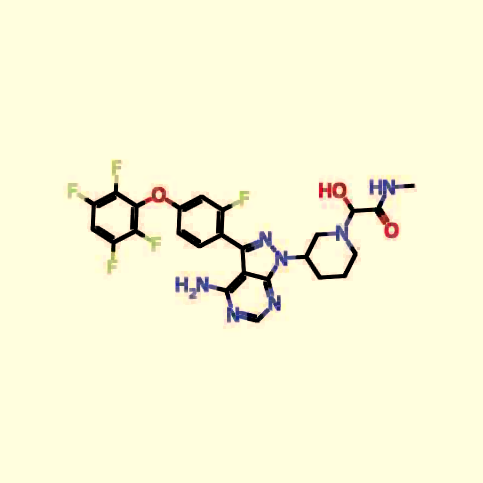 CNC(=O)C(O)N1CCCC(n2nc(-c3ccc(Oc4c(F)c(F)cc(F)c4F)cc3F)c3c(N)ncnc32)C1